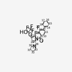 O=C(O)C(F)(F)F.O=C(c1ccc(-c2ccccc2)c(F)c1F)N1CCC[C@H]1CN1CCCC1